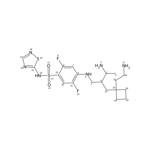 CC(N)C(CNc1cc(F)c(S(=O)(=O)Nc2ncns2)cc1F)CC1(CCN)CCC1